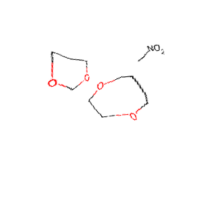 C1COCCO1.C1COCO1.C[N+](=O)[O-]